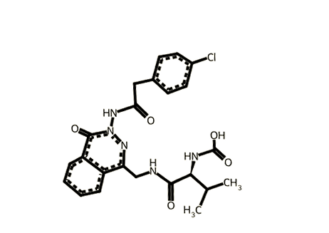 CC(C)[C@H](NC(=O)O)C(=O)NCc1nn(NC(=O)Cc2ccc(Cl)cc2)c(=O)c2ccccc12